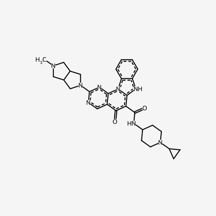 CN1CC2CN(c3ncc4c(=O)c(C(=O)NC5CCN(C6CC6)CC5)c5[nH]c6ccccc6n5c4n3)CC2C1